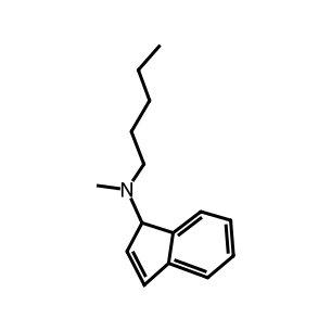 CCCCCN(C)C1C=Cc2ccccc21